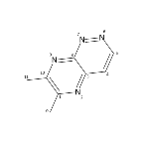 Cc1nc2ccnnc2nc1C